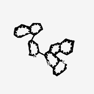 c1ccc2c(-c3ccnc(-c4nc5ccccc5c5c4ccc4ccccc45)c3)cccc2c1